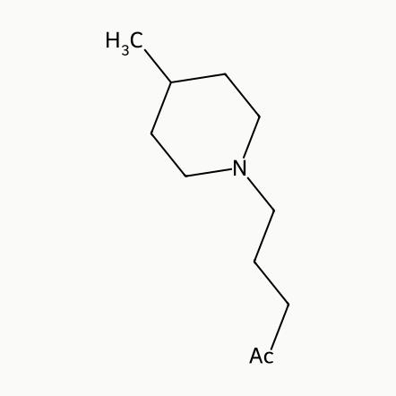 CC(=O)CCCN1CCC(C)CC1